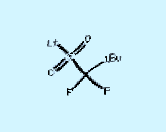 CCS(=O)(=O)C(F)(F)C(C)(C)C